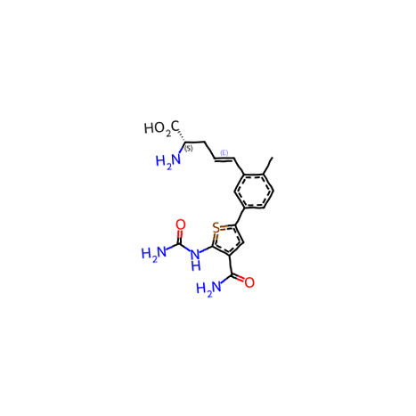 Cc1ccc(-c2cc(C(N)=O)c(NC(N)=O)s2)cc1/C=C/C[C@H](N)C(=O)O